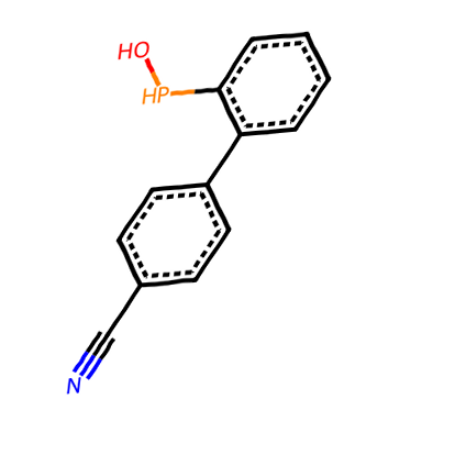 N#Cc1ccc(-c2ccccc2PO)cc1